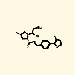 CC1=C(c2ccc(CNC(=O)[C@@H]3C[C@@H](O)CN3C(O)CC(C)(C)C)cc2)SCC1